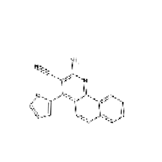 N#Cc1c(N)nc2c(ccc3ccccc32)c1-c1ccco1